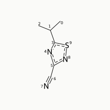 CC(C)c1nc(C#N)ns1